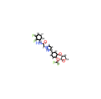 O=C(Cn1ccc(-c2ccc(OC(F)F)c(O[C@@H]3CCOC3)c2)n1)Nc1cccc(F)c1F